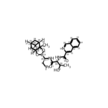 CC(C)C[C@H](NC(=O)[C@@H](NC(=O)c1cc2ccccc2cn1)[C@@H](C)O)B1O[C@@H]2C[C@@H]3C[C@@H](C3(C)C)[C@]2(C)O1